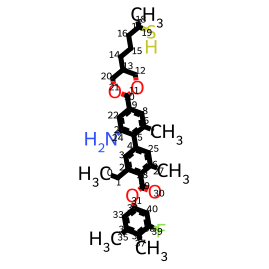 CCc1cc(-c2c(C)cc(C3OCC(CCCC(C)S)CO3)cc2N)cc(C)c1C(=O)Oc1cc(C)c(C)c(F)c1